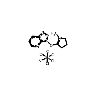 C[N+]1=C(On2nnc3cccnc32)CCC1.[Cl][Sb-]([Cl])([Cl])([Cl])([Cl])[Cl]